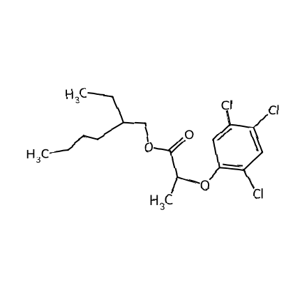 CCCCC(CC)COC(=O)C(C)Oc1cc(Cl)c(Cl)cc1Cl